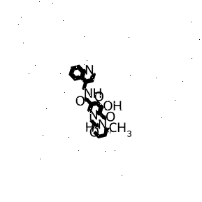 C[C@@H]1CCO[C@H]2Cn3cc(C(=O)NCc4ccnc5ccccc45)c(=O)c(O)c3C(=O)N12